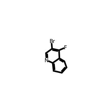 Fc1c(Br)cnc2ccccc12